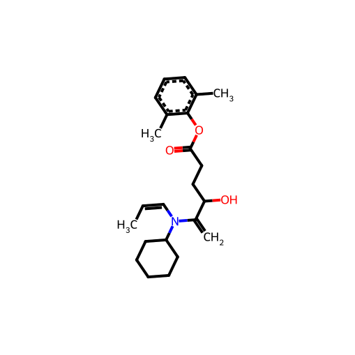 C=C(C(O)CCC(=O)Oc1c(C)cccc1C)N(/C=C\C)C1CCCCC1